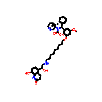 COc1cc(OCCCCCCCCCNC[C@@H](O)c2ccc(O)c3[nH]c(=O)ccc23)cc(C(c2ccccc2)N(C(=O)O)[C@H]2CN3CCC2CC3)c1